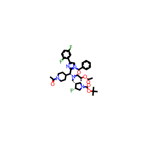 CC(=O)O[C@@H](C)C(=O)N(C[C@@H]1CN(C(=O)OC(C)(C)C)C[C@@H]1F)[C@@H](c1nc(-c2cc(F)ccc2F)cn1Cc1ccccc1)C1CCN(C(C)=O)CC1